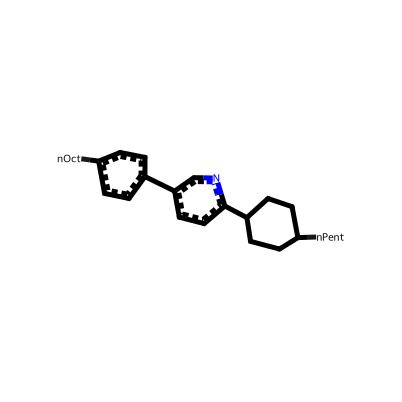 CCCCCCCCc1ccc(-c2ccc(C3CCC(CCCCC)CC3)nc2)cc1